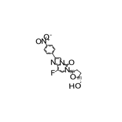 O=c1n([C@H]2CC[C@H](CO)O2)cc(F)c2nc(-c3ccc([N+](=O)[O-])cc3)cn12